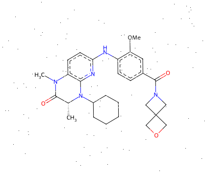 COc1cc(C(=O)N2CC3(COC3)C2)ccc1Nc1ccc2c(n1)N(C1CCCCC1)[C@H](C)C(=O)N2C